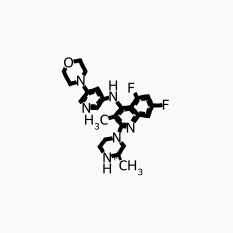 Cc1c(N2CCN[C@H](C)C2)nc2cc(F)cc(F)c2c1Nc1cncc(N2CCOCC2)c1